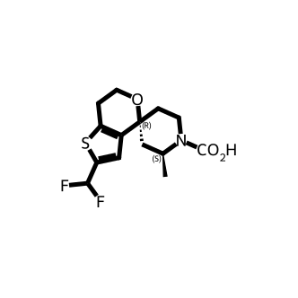 C[C@H]1C[C@@]2(CCN1C(=O)O)OCCc1sc(C(F)F)cc12